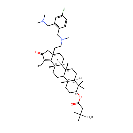 CC(C)C1=C2[C@H]3CCC4[C@@]5(C)CC[C@H](OC(=O)CC(C)(C)C(=O)O)C(C)(C)[C@@H]5CC[C@@]4(C)[C@]3(C)CC[C@@]2(CCN(C)Cc2ccc(Cl)cc2CN(C)C)CC1=O